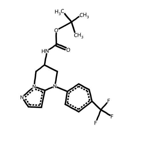 CC(C)(C)OC(=O)NC1CN(c2ccc(C(F)(F)F)cc2)c2ccnn2C1